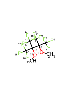 COC(C(F)(F)F)(C(F)(F)F)C(OC)(C(F)(F)F)C(F)(F)F